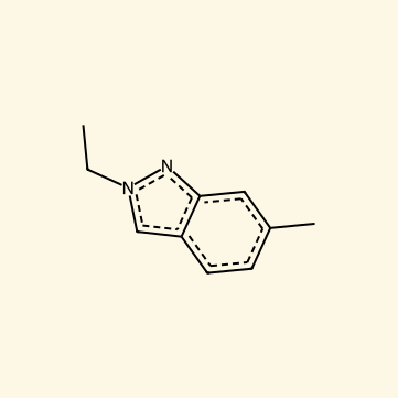 CCn1cc2ccc(C)cc2n1